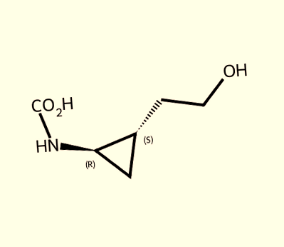 O=C(O)N[C@@H]1C[C@H]1CCO